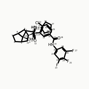 O=C(C[C@]1(O)C2CCC1C[C@@H](S(=O)(=O)c1cc(C(=O)Nc3cc(F)c(F)c(F)c3)ccc1Cl)C2)N[C@@H]1CCOC1